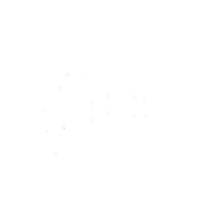 Cc1cccc(C)c1-c1ccnc(-c2ccc(-n3c4ccc(N(c5ccccc5)c5ccccc5)cc4c4cc(N(c5ccccc5)c5ccccc5)ccc43)cc2)c1